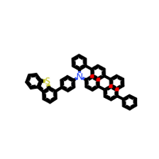 c1ccc(-c2ccc(-c3ccc(N(c4ccc(-c5cccc6c5sc5ccccc56)cc4)c4ccccc4-c4ccc(-c5ccccc5)cc4)cc3)cc2)cc1